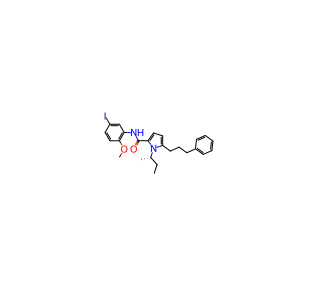 CC[C@H](C)n1c(CCCc2ccccc2)ccc1C(=O)Nc1cc(I)ccc1OC